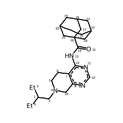 CCC(CC)CN1CCc2c(ncnc2NC(=O)C23CC4CC(CC(C4)C2)C3)C1